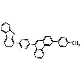 Cc1ccc(-c2ccc3cc(-c4ccc(-c5cccc6c5sc5ccccc56)cc4)c4ccccc4c3c2)cc1